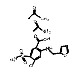 CC(N)=O.CC(N)=O.NS(=O)(=O)c1cc(C(=O)O)c(NCc2ccco2)cc1Cl